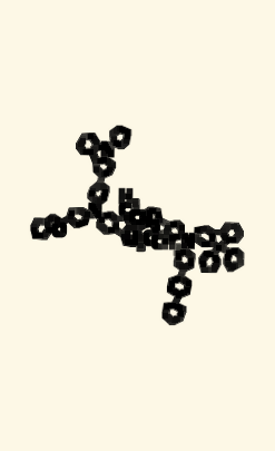 CC1(C)c2cc(N(c3ccc(-c4ccc5c(c4)c4ccccc4n5-c4ccccc4)cc3)c3ccc(-c4cc5ccccc5o4)cc3)ccc2-c2cccc(-c3cccc4c3C(C)(C)c3cc(N(c5ccc(-c6ccc(-c7ccccc7)cc6)cc5)c5ccc6c(c5)C(c5ccccc5)(c5ccccc5)c5ccccc5-6)ccc3-4)c21